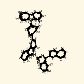 c1ccc2cc(-c3nc(-n4c5ccccc5c5cc(-c6ccc7c(c6)Oc6cccc8c9ccccc9n-7c68)ccc54)nc4ccccc34)ccc2c1